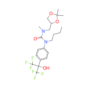 CCCCN(C(=O)N(C)CC1COC(C)(C)O1)c1ccc(C(O)(C(F)(F)F)C(F)(F)F)cc1